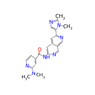 Cc1ncc(-c2cc3cc(NC(=O)c4ccnc(N(C)C)c4)ncc3cn2)n1C